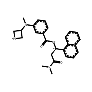 CN(C)C(=O)C[C@@H](NC(=O)c1cccc(N(C)C2CNC2)c1)c1cccc2ccccc12